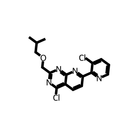 CC(C)COCc1nc(Cl)c2ccc(-c3ncccc3Cl)nc2n1